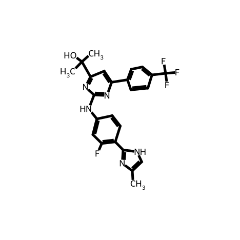 Cc1c[nH]c(-c2ccc(Nc3nc(-c4ccc(C(F)(F)F)cc4)cc(C(C)(C)O)n3)cc2F)n1